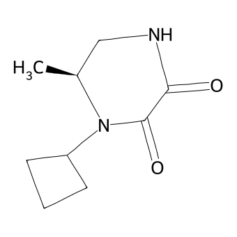 C[C@H]1CNC(=O)C(=O)N1C1CCC1